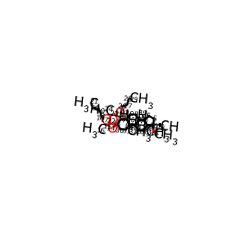 C#C[C@]1(CC)CC[C@H]2[C@@H]3CC[C@@H]4CC(OC(C)OCCCC)(OC(C)OCCCC)CC[C@]4(C)[C@H]3CC[C@@]21C